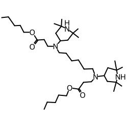 CCCCCOC(=O)CCN(CCCCCCN(CCC(=O)OCCCCC)C1CC(C)(C)NC(C)(C)C1)C1CC(C)(C)NC(C)(C)C1